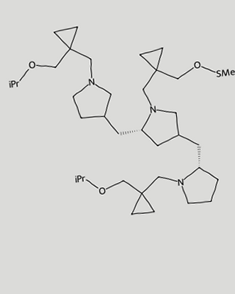 CSOCC1(CN2CC(C[C@@H]3CCCN3CC3(COC(C)C)CC3)C[C@@H]2CC2CCN(CC3(COC(C)C)CC3)C2)CC1